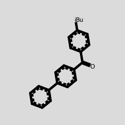 CCC(C)c1ccc(C(=O)c2ccc(-c3ccccc3)cc2)cc1